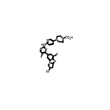 CCC1Cc2nc3c(F)cc(-c4nc(Nc5ccc(N6CCN(C(=O)O)CC6)cn5)ncc4F)cc3n2C1